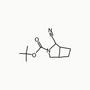 CC(C)(C)OC(=O)N1CC2CCC2C1C#N